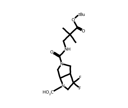 CC(C)(C)OC(=O)C(C)(C)CNC(=O)N1CC2C(C1)C(F)(F)CN2C(=O)O